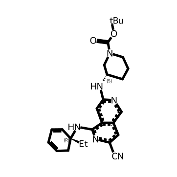 CC[C@]1(Nc2nc(C#N)cc3cnc(N[C@H]4CCCN(C(=O)OC(C)(C)C)C4)cc23)C=CC=CC1